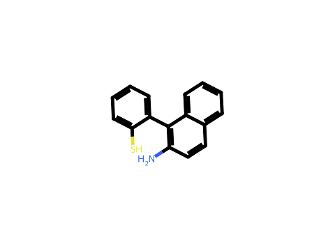 Nc1ccc2ccccc2c1-c1ccccc1S